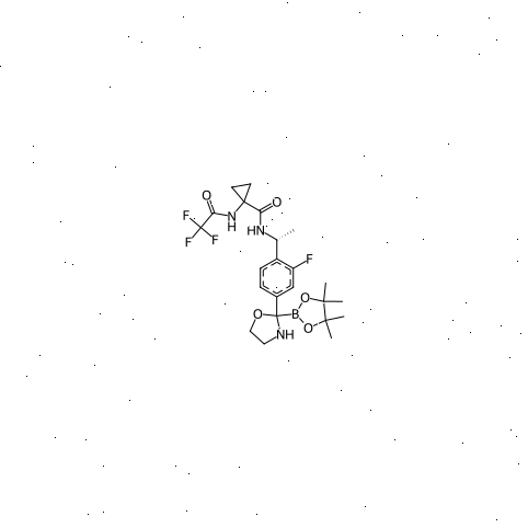 C[C@@H](NC(=O)C1(NC(=O)C(F)(F)F)CC1)c1ccc(C2(B3OC(C)(C)C(C)(C)O3)NCCO2)cc1F